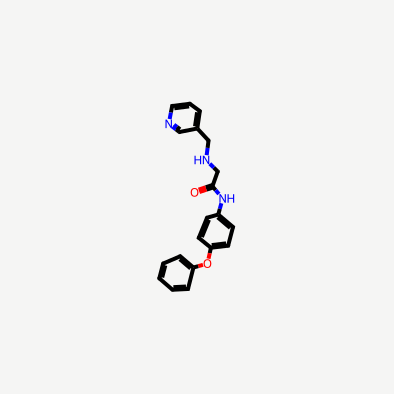 O=C(CNCc1cccnc1)Nc1ccc(Oc2ccccc2)cc1